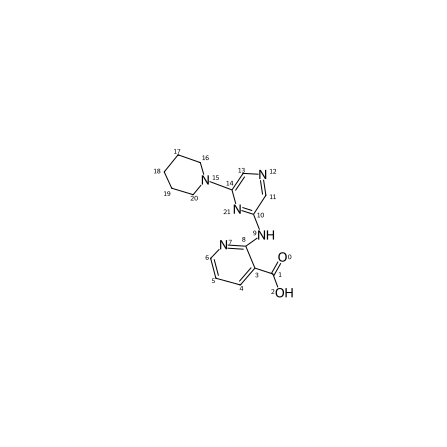 O=C(O)c1cccnc1Nc1cncc(N2CCCCC2)n1